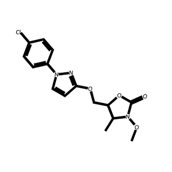 CON1C(=O)OC(COc2ccn(-c3ccc(Cl)cc3)n2)C1C